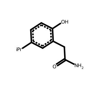 CC(C)c1ccc(O)c(CC(N)=O)c1